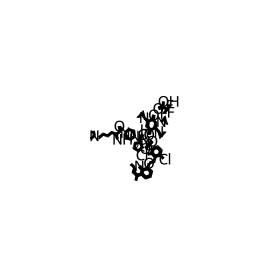 Cc1cc(C)c2cccc(OCc3c(Cl)ccc(S(=O)(=O)NC4(C(=O)N5CCN(C(=O)C(N)CCCCN(C)C)CC5)CCCC4)c3Cl)c2n1.O=C(O)C(F)(F)F.O=C1C=C(N2CC2)C(=O)C(N2CC2)=C1N1CC1